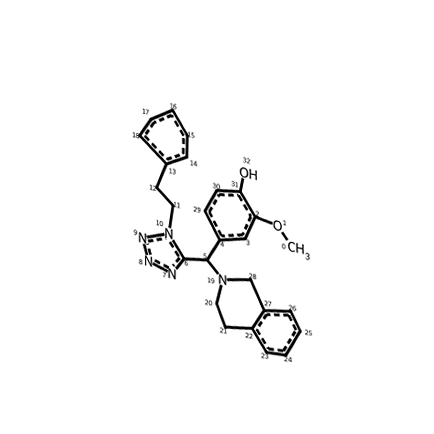 COc1cc(C(c2nnnn2CCc2ccccc2)N2CCc3ccccc3C2)ccc1O